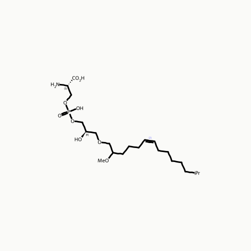 COC(CCC/C=C\CCCCCC(C)C)COC[C@@H](O)COP(=O)(O)OC[C@H](N)C(=O)O